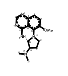 COc1ccc2ncnc(N)c2c1N1CCC(N(C)C)C1